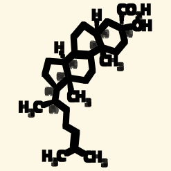 CC(C)=CCC[C@@H](C)[C@H]1CC[C@H]2C3=C(CC[C@]12C)[C@@]1(C)CC[C@@](O)(C(=O)O)C[C@@H]1CC3